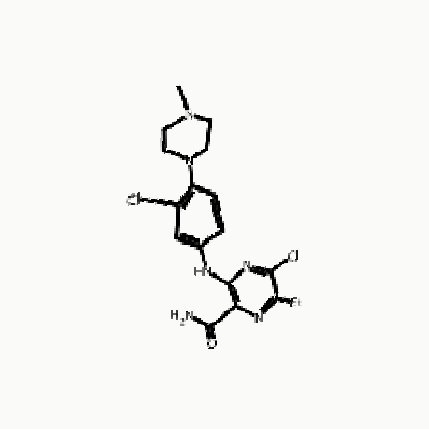 CCc1nc(C(N)=O)c(Nc2ccc(N3CCN(C)CC3)c(Cl)c2)nc1Cl